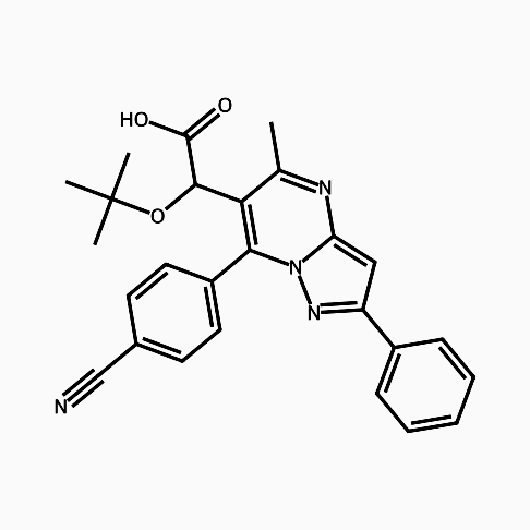 Cc1nc2cc(-c3ccccc3)nn2c(-c2ccc(C#N)cc2)c1C(OC(C)(C)C)C(=O)O